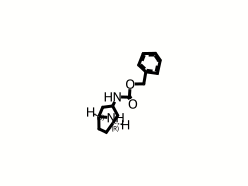 O=C(NC1C[C@H]2CC[C@@H](C1)N2)OCc1ccccc1